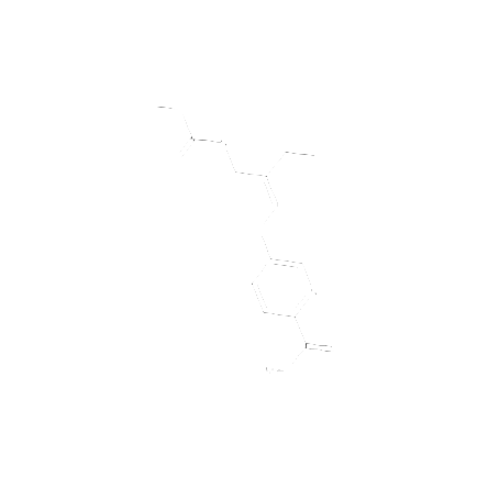 COC(=O)c1ccc(O/C=C(/CF)CNC(=O)OC(C)(C)C)cn1